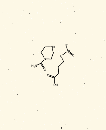 NC(=O)N1CCNCC1.O=C(O)CCCO[N+](=O)[O-]